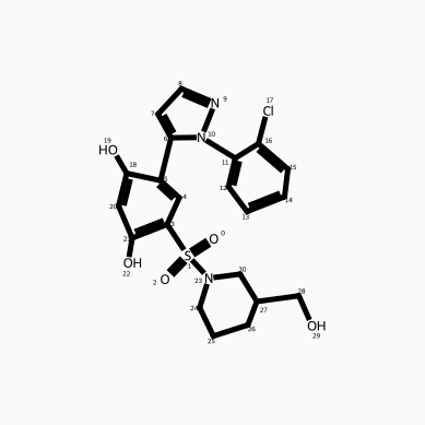 O=S(=O)(c1cc(-c2ccnn2-c2ccccc2Cl)c(O)cc1O)N1CCCC(CO)C1